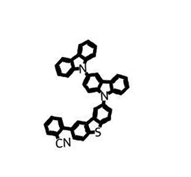 N#Cc1ccccc1-c1ccc2sc3ccc(-n4c5ccccc5c5cc(-n6c7ccccc7c7ccccc76)ccc54)cc3c2c1